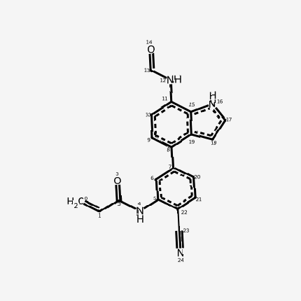 C=CC(=O)Nc1cc(-c2ccc(NC=O)c3[nH]ccc23)ccc1C#N